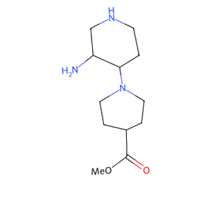 COC(=O)C1CCN(C2CCNCC2N)CC1